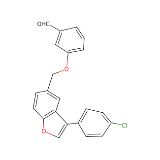 O=Cc1cccc(OCc2ccc3occ(-c4ccc(Cl)cc4)c3c2)c1